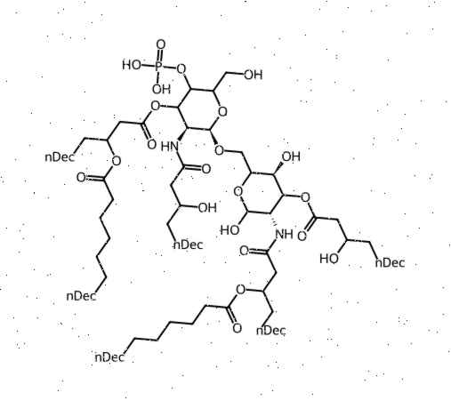 CCCCCCCCCCCCCCCC(=O)OC(CCCCCCCCCCC)CC(=O)N[C@@H]1C(O)OC(CO[C@@H]2OC(CO)C(OP(=O)(O)O)C(OC(=O)CC(CCCCCCCCCCC)OC(=O)CCCCCCCCCCCCCCC)[C@@H]2NC(=O)CC(O)CCCCCCCCCCC)[C@@H](O)C1OC(=O)CC(O)CCCCCCCCCCC